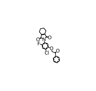 O=C(COc1cc(N2C(=O)C3=C(CCCC3)C2=O)c(F)cc1Cl)c1ccccc1